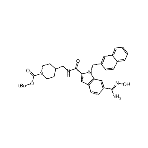 CC(C)(C)OC(=O)N1CCC(CNC(=O)c2cc3ccc(C(N)=NO)cc3n2Cc2ccc3ccccc3c2)CC1